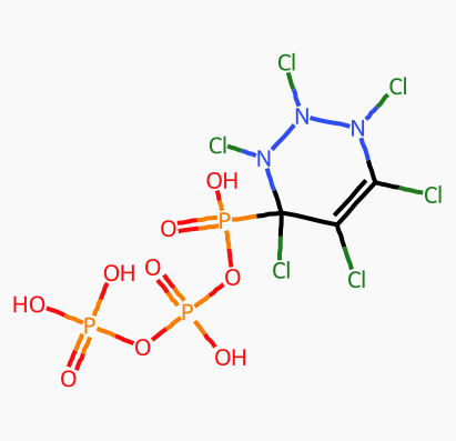 O=P(O)(O)OP(=O)(O)OP(=O)(O)C1(Cl)C(Cl)=C(Cl)N(Cl)N(Cl)N1Cl